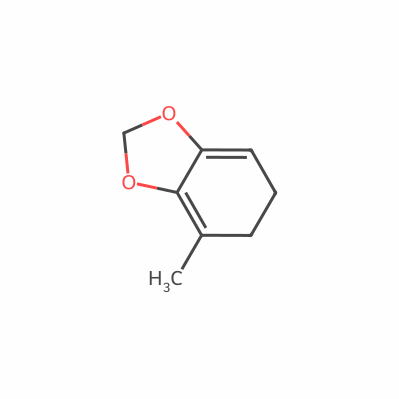 CC1=C2OCOC2=CCC1